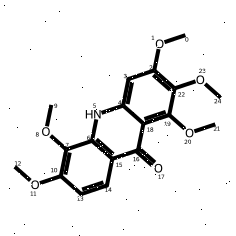 COc1cc2[nH]c3c(OC)c(OC)ccc3c(=O)c2c(OC)c1OC